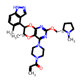 C=CC(=O)N1CCN(c2nc(OC[C@@H]3CCCN3C)nc3c2O[C@H](C)C(c2c(C)ccc4[nH]ncc24)O3)CC1